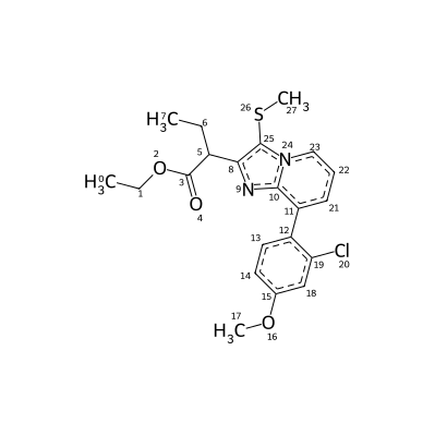 CCOC(=O)C(CC)c1nc2c(-c3ccc(OC)cc3Cl)cccn2c1SC